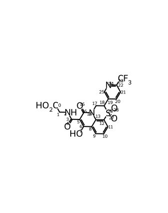 O=C(O)CNC(=O)c1c(O)c2cccc3c2n(c1=O)CC(c1ccc(C(F)(F)F)nc1)S3(=O)=O